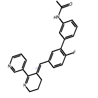 CC(=O)Nc1cccc(-c2cc(/C=C3\CCCN=C3c3cccnc3)ccc2F)c1